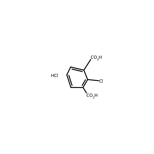 Cl.O=C(O)c1cccc(C(=O)O)c1Cl